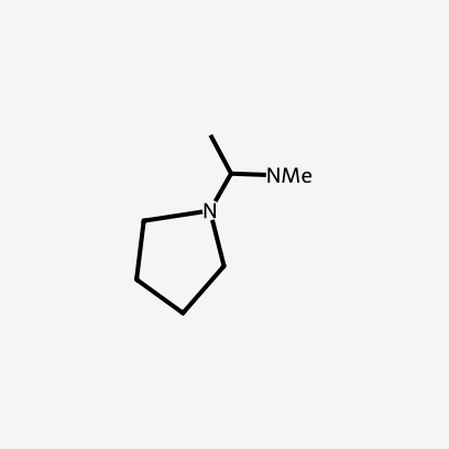 CNC(C)N1CCCC1